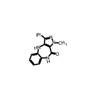 CC(C)c1nn(C)c2c1Nc1ccccc1NC2=O